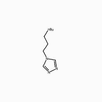 CCCCCCCn1cnnc1